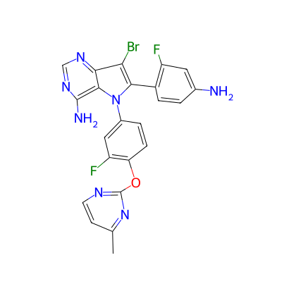 Cc1ccnc(Oc2ccc(-n3c(-c4ccc(N)cc4F)c(Br)c4ncnc(N)c43)cc2F)n1